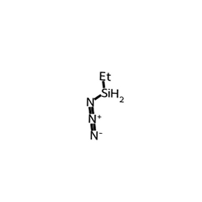 CC[SiH2]N=[N+]=[N-]